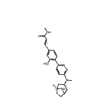 CNC(=O)/C=C/c1ccc(-c2ccc(N(C)[C@H]3CC4CC[C@](C)(C3)N4)nn2)c(O)c1